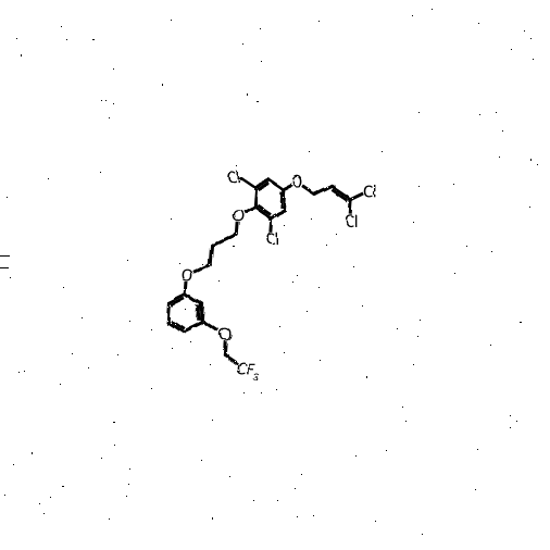 FC(F)(F)COc1cccc(OCCCOc2c(Cl)cc(OCC=C(Cl)Cl)cc2Cl)c1